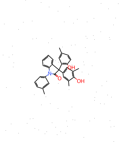 Cc1cccc(N2C(=O)C(c3cc(C)c(O)c(C)c3)(c3cc(C)ccc3O)c3ccccc32)c1